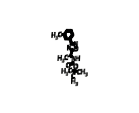 Cc1cccc(-c2noc([C@@H](C)NC(=O)OC(C)(C)C)n2)c1